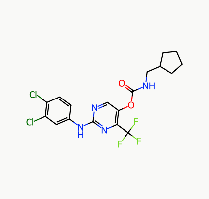 O=C(NCC1CCCC1)Oc1cnc(Nc2ccc(Cl)c(Cl)c2)nc1C(F)(F)F